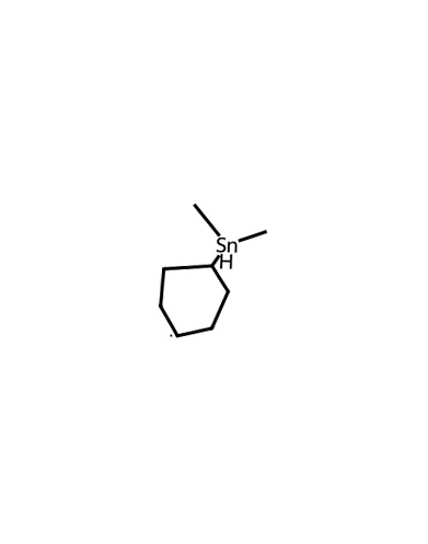 [CH3][SnH]([CH3])[CH]1CC[CH]CC1